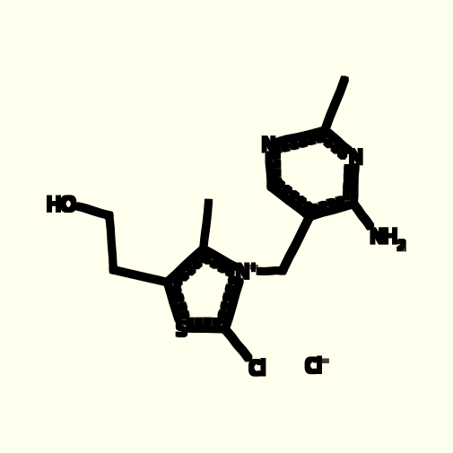 Cc1ncc(C[n+]2c(Cl)sc(CCO)c2C)c(N)n1.[Cl-]